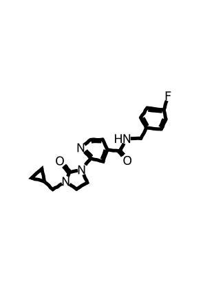 O=C(NCc1ccc(F)cc1)c1ccnc(N2CCN(CC3CC3)C2=O)c1